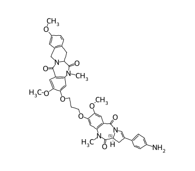 COc1ccc2c(c1)CN1C(=O)c3cc(OC)c(OCCCOc4cc5c(cc4OC)C(=O)N4C=C(c6ccc(N)cc6)C[C@H]4C(=O)N5C)cc3N(C)C(=O)C1C2